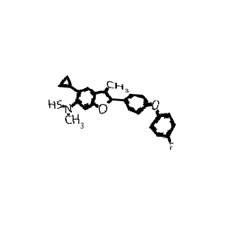 CC1c2cc(C3CC3)c(N(C)S)cc2OC1c1ccc(Oc2ccc(F)cc2)cc1